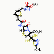 Cc1nnc(C(S)(S)C2=C(C(=O)O)N3C(=O)[C@@H](NC(=O)Cc4ccc(CNC(=O)OC(C)(C)C)s4)[C@@H]3SC2)s1